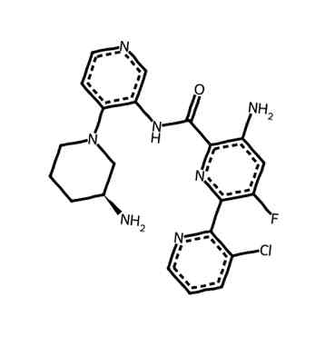 Nc1cc(F)c(-c2ncccc2Cl)nc1C(=O)Nc1cnccc1N1CCC[C@H](N)C1